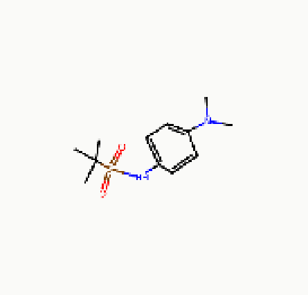 CN(C)c1ccc(NS(=O)(=O)C(C)(C)C)cc1